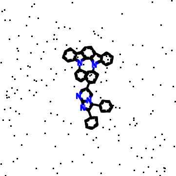 c1ccc(-c2nc3ncc(-c4ccc(-n5c6ccccc6c6ccc7c8ccccc8n(-c8ccccc8)c7c65)cc4)cn3c2-c2ccccc2)cc1